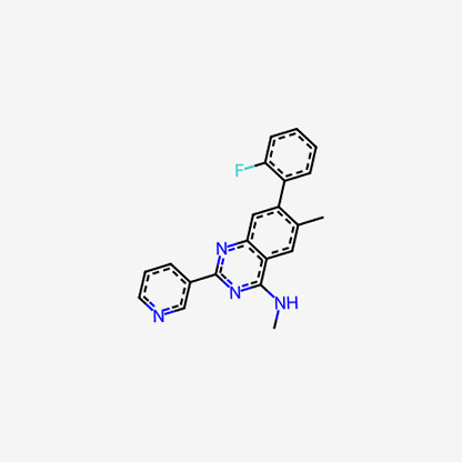 CNc1nc(-c2cccnc2)nc2cc(-c3ccccc3F)c(C)cc12